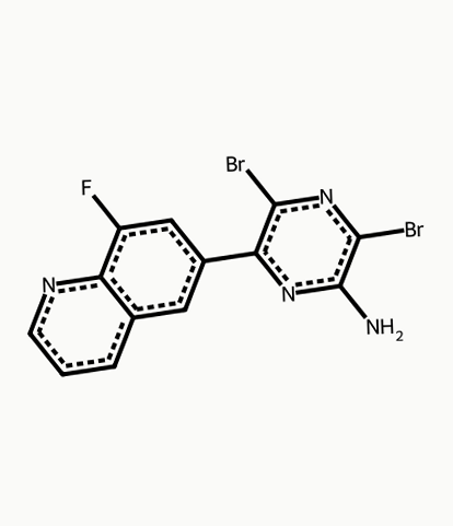 Nc1nc(-c2cc(F)c3ncccc3c2)c(Br)nc1Br